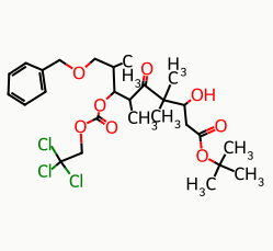 CC(COCc1ccccc1)C(OC(=O)OCC(Cl)(Cl)Cl)C(C)C(=O)C(C)(C)C(O)CC(=O)OC(C)(C)C